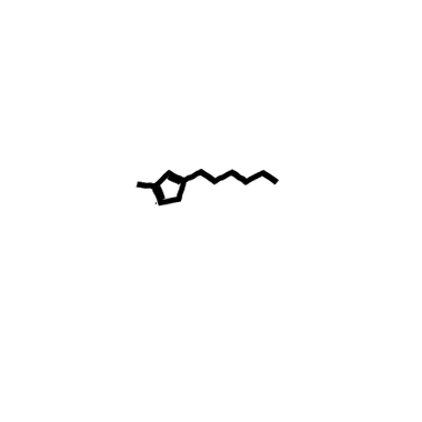 CCCCCCC1=CC(C)=[C]C1